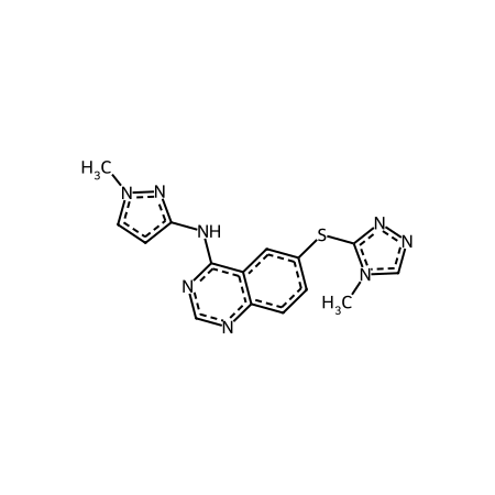 Cn1ccc(Nc2ncnc3ccc(Sc4nncn4C)cc23)n1